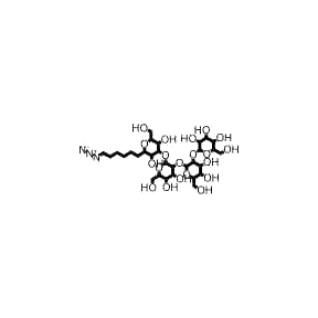 [N-]=[N+]=NCCCCCCC1OC(CO)C(O)C(OC2OC(CO)C(O)C(O)C2OC2OC(CO)C(O)C(O)C2OC2OC(CO)C(O)C(O)C2O)C1O